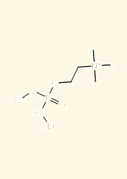 CCOP(=O)(OCC)OCC[N+](C)(C)C